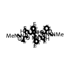 CNCC(=O)NC(C(=O)N1CC(F)CC1Cc1c(-c2nc3cc(F)ccc3n2CC2CC(F)CN2C(=O)C(NC(=O)CNC)C2CCCCC2)[nH]c2cc(F)ccc12)C1CC1